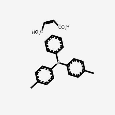 Cc1ccc(N(c2ccccc2)c2ccc(C)cc2)cc1.O=C(O)/C=C\C(=O)O